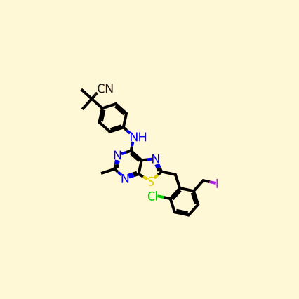 Cc1nc(Nc2ccc(C(C)(C)C#N)cc2)c2nc(Cc3c(Cl)cccc3CI)sc2n1